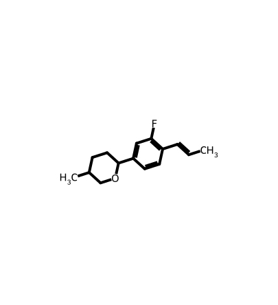 C/C=C/c1ccc(C2CCC(C)CO2)cc1F